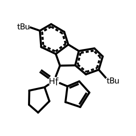 [CH2]=[Hf]([C]1=CC=CC1)([CH]1CCCC1)[CH]1c2cc(C(C)(C)C)ccc2-c2ccc(C(C)(C)C)cc21